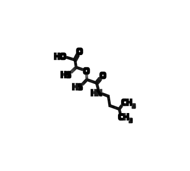 CC(C)CCNC(=O)C(S)OC(S)C(=O)O